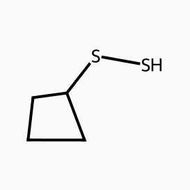 SSC1CCC1